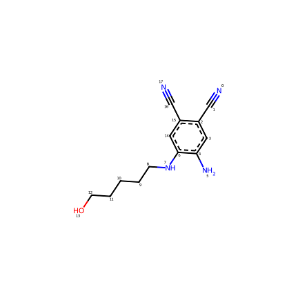 N#Cc1cc(N)c(NCCCCCO)cc1C#N